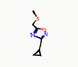 CSCc1nc(C2CC2)no1